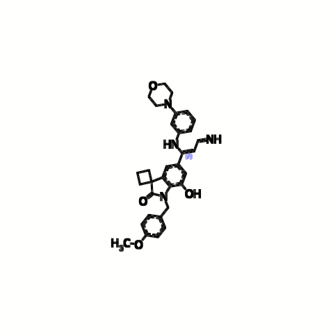 COc1ccc(CN2C(=O)C3(CCC3)c3cc(/C(=C/C=N)Nc4cccc(N5CCOCC5)c4)cc(O)c32)cc1